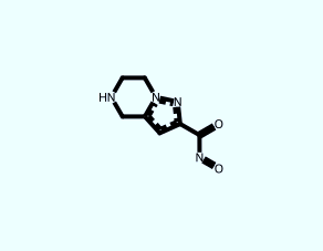 O=NC(=O)c1cc2n(n1)CCNC2